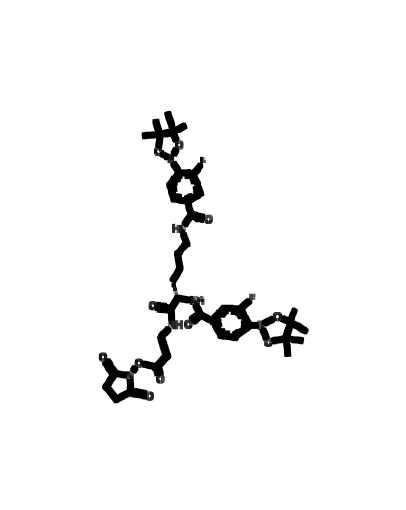 CC1(C)OB(c2ccc(C(=O)NCCCC[C@H](NC(=O)c3ccc(B4OC(C)(C)C(C)(C)O4)c(F)c3)C(=O)NCCC(=O)ON3C(=O)CCC3=O)cc2F)OC1(C)C